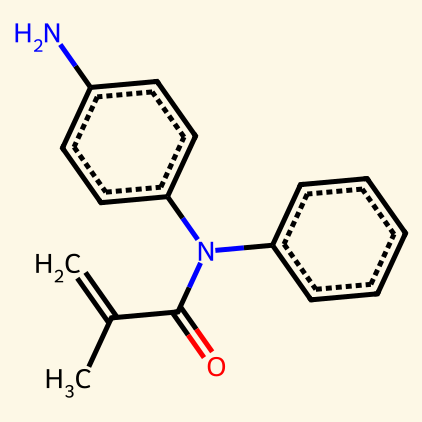 C=C(C)C(=O)N(c1ccccc1)c1ccc(N)cc1